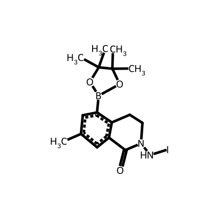 Cc1cc(B2OC(C)(C)C(C)(C)O2)c2c(c1)C(=O)N(NI)CC2